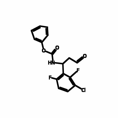 O=CCC(NC(=O)Oc1ccccc1)c1c(F)ccc(Cl)c1F